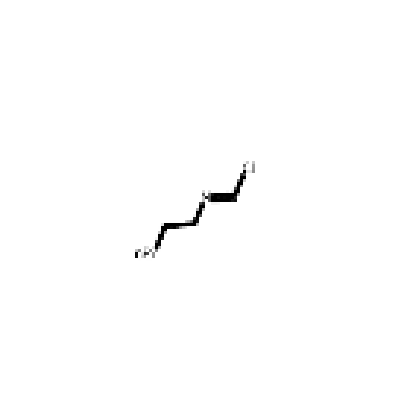 CCCCC/N=C/Cl